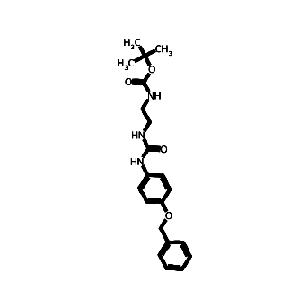 CC(C)(C)OC(=O)NCCNC(=O)Nc1ccc(OCc2ccccc2)cc1